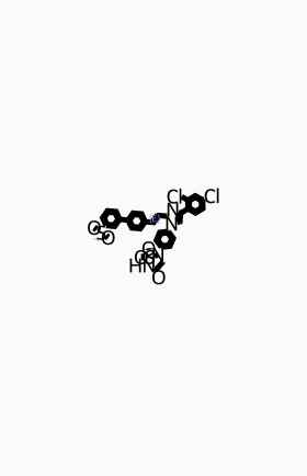 CS(=O)(=O)c1cccc(-c2ccc(/C=C/c3nc(-c4ccc(Cl)cc4Cl)cn3-c3ccc(N4CC(=O)NS4(=O)=O)cc3)cc2)c1